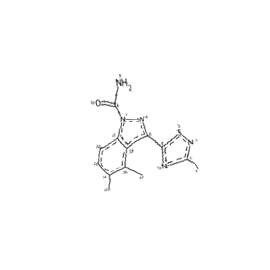 Cc1nsc(-c2nn(C(N)=O)c3ccc(C)c(C)c23)n1